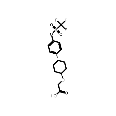 O=C(O)CO[C@H]1CC[C@H](c2ccc(OS(=O)(=O)C(F)(F)F)cc2)CC1